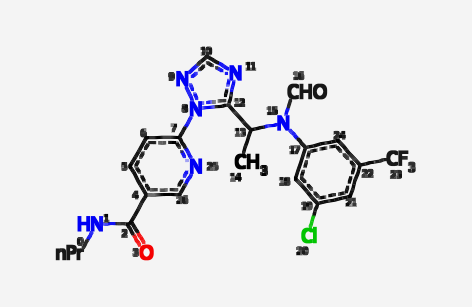 CCCNC(=O)c1ccc(-n2ncnc2C(C)N(C=O)c2cc(Cl)cc(C(F)(F)F)c2)nc1